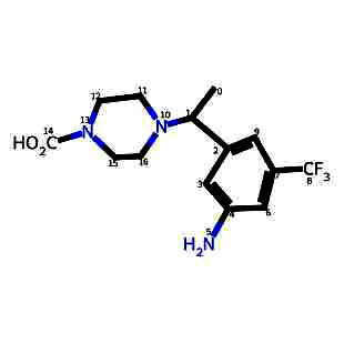 CC(c1cc(N)cc(C(F)(F)F)c1)N1CCN(C(=O)O)CC1